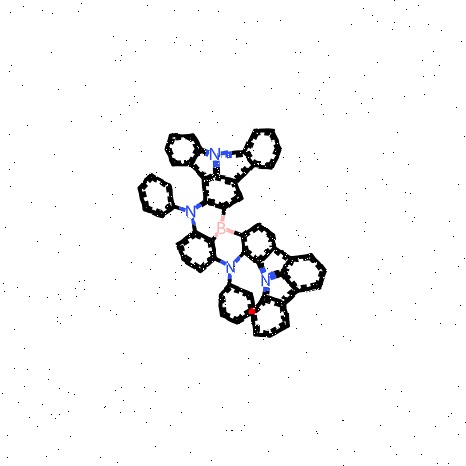 c1ccc(N2c3cccc4c3B(c3cc5c6ccccc6n6c7ccccc7c(c32)c56)c2ccc3c5cccc6c7ccccc7n(c3c2N4c2ccccc2)c65)cc1